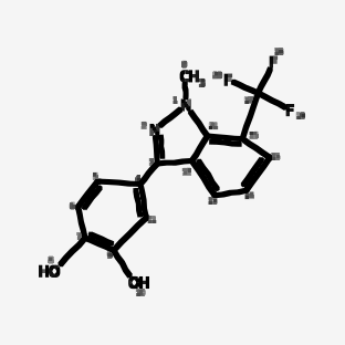 Cn1nc(-c2ccc(O)c(O)c2)c2cccc(C(F)(F)F)c21